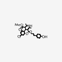 COC(=O)C1=C(C)NC(C)=C(C(=O)OCC=Cc2ccc(O)cc2)C1c1ccc(Cl)cc1Cl